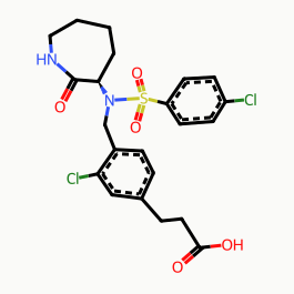 O=C(O)CCc1ccc(CN([C@@H]2CCCCNC2=O)S(=O)(=O)c2ccc(Cl)cc2)c(Cl)c1